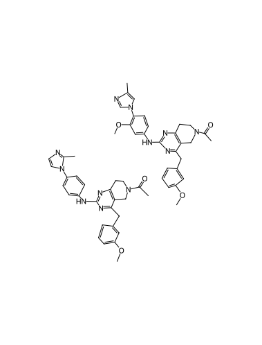 COc1cccc(Cc2nc(Nc3ccc(-n4ccnc4C)cc3)nc3c2CN(C(C)=O)CC3)c1.COc1cccc(Cc2nc(Nc3ccc(-n4cnc(C)c4)c(OC)c3)nc3c2CN(C(C)=O)CC3)c1